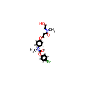 CN(CCO)C(=O)CCOC1CCC(N(C)C(=O)Oc2ccc(Br)cc2)CC1